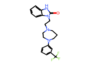 O=c1[nH]c2ccccc2n1CCN1CCCN(c2cccc(C(F)(F)F)c2)CC1